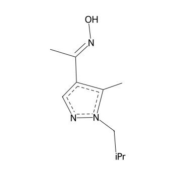 C/C(=N\O)c1cnn(CC(C)C)c1C